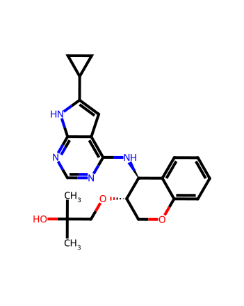 CC(C)(O)CO[C@H]1COc2ccccc2[C@@H]1Nc1ncnc2[nH]c(C3CC3)cc12